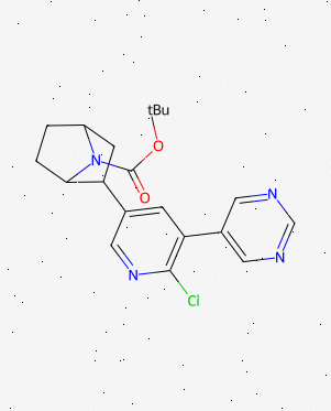 CC(C)(C)OC(=O)N1C2CCC1C(c1cnc(Cl)c(-c3cncnc3)c1)C2